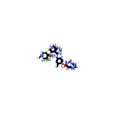 Cc1cc(Nc2ncnc3cncc(O[C@@H]4CCN(C)CC4(F)F)c23)ccc1Oc1cc2ncnn2cn1